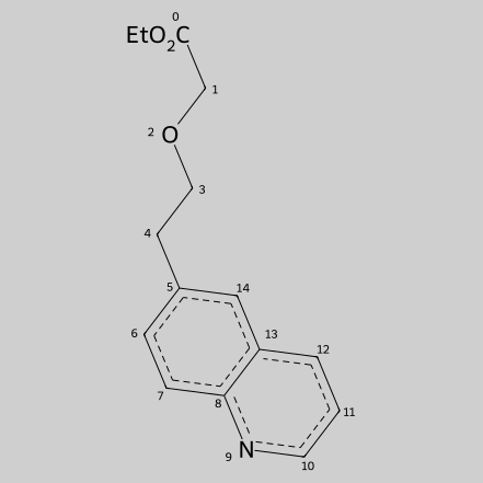 CCOC(=O)COCCc1ccc2ncccc2c1